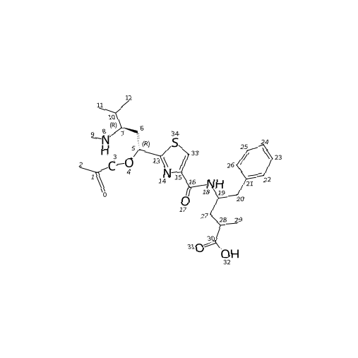 C=C(C)CO[C@H](C[C@@H](NC)C(C)C)c1nc(C(=O)NC(Cc2ccccc2)CC(C)C(=O)O)cs1